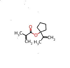 C=C(C)C(=O)OC1(C(=C)C)CCCC1